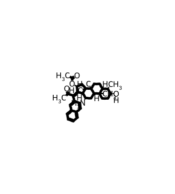 CC(=O)O[C@H]1C[C@@]2(C)[C@H](/C1=C(/C(C)=O)c1ccc3ccccc3c1)[C@@H](N)C[C@H]1[C@@]3(C)CC[C@@H](O)[C@@H](C)[C@@H]3CC[C@@]12C